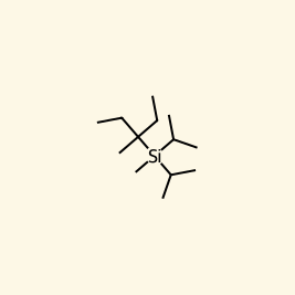 CCC(C)(CC)[Si](C)(C(C)C)C(C)C